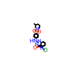 CC1CCCN(S(=O)(=O)c2ccc(NC3=NCC45CC(=O)CCN(Cl)C4=CC=CC5=N3)cc2)C1